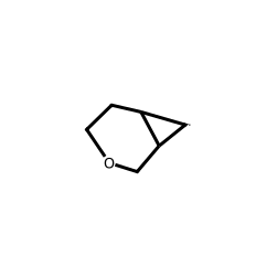 [CH]1C2CCOCC12